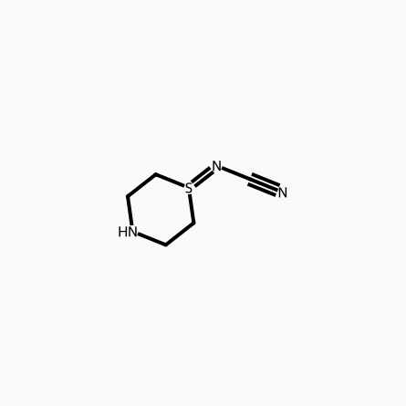 N#CN=S1CCNCC1